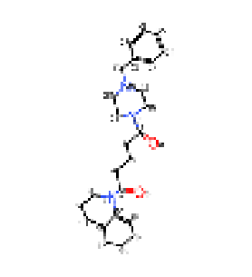 O=C(CCCC(=O)N1CCCC2CCCC=C21)N1CCN(Cc2ccccc2)CC1